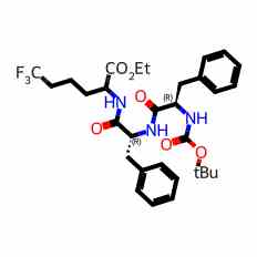 CCOC(=O)C(CCCC(F)(F)F)NC(=O)[C@@H](Cc1ccccc1)NC(=O)[C@@H](Cc1ccccc1)NC(=O)OC(C)(C)C